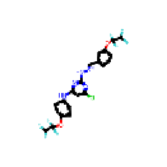 FC(F)C(F)(F)Oc1ccc(Nc2cc(Cl)nc(N/N=C/c3cccc(OC(F)(F)C(F)F)c3)n2)cc1